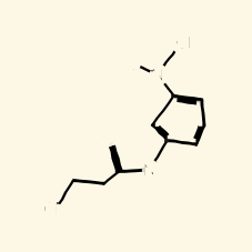 CN(C)c1cccc(NC(=O)CCCl)c1